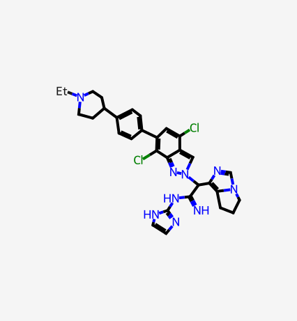 CCN1CCC(c2ccc(-c3cc(Cl)c4cn(C(C(=N)Nc5ncc[nH]5)c5ncn6c5CCC6)nc4c3Cl)cc2)CC1